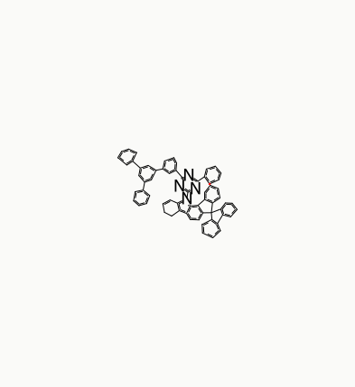 C1=Cc2c(c3ccc4c(c3n2-c2nc(-c3ccccc3)nc(-c3cccc(-c5cc(-c6ccccc6)cc(-c6ccccc6)c5)c3)n2)-c2ccccc2C42c3ccccc3-c3ccccc32)CC1